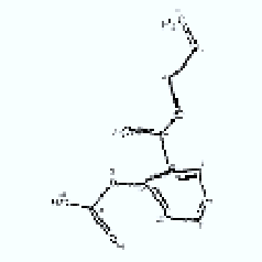 C=CCOC(=O)c1ccccc1OC(=O)O